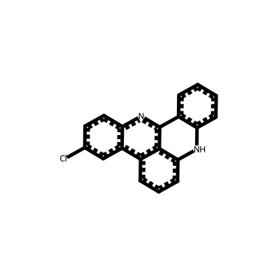 Clc1ccc2nc3c4c(cccc4c2c1)Nc1ccccc1-3